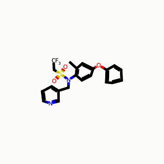 Cc1cc(Oc2ccccc2)ccc1N(Cc1cccnc1)S(=O)(=O)CC(F)(F)F